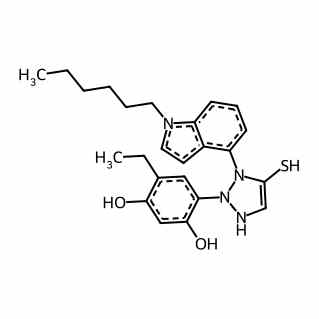 CCCCCCn1ccc2c(N3C(S)=CNN3c3cc(CC)c(O)cc3O)cccc21